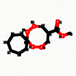 COC(=O)C1COOC2(CCCCCC2)OOC1